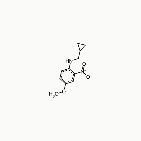 COc1ccc(NCC2CC2)c([N+](=O)[O-])c1